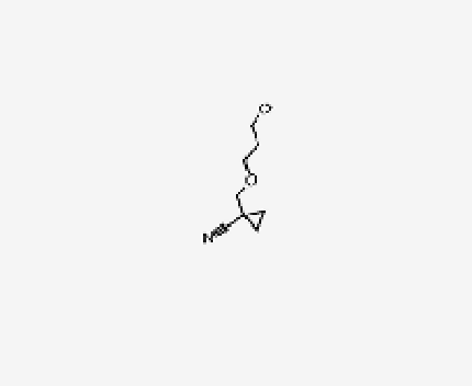 N#CC1(COCCC[O])CC1